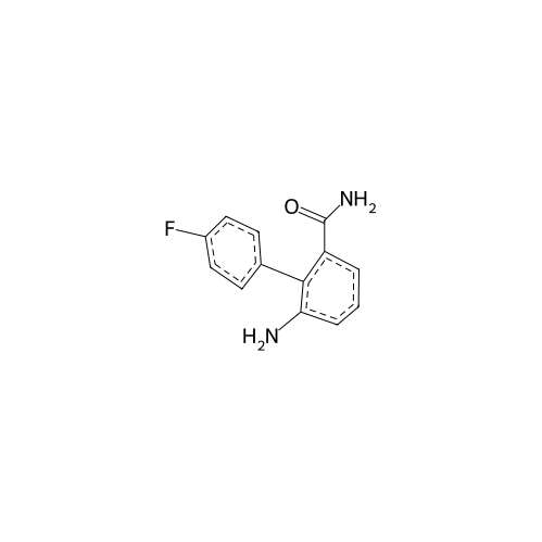 NC(=O)c1cccc(N)c1-c1ccc(F)cc1